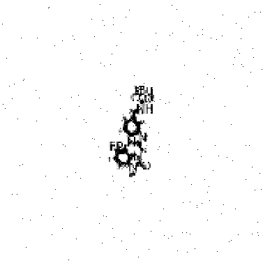 CCCn1c(Cn2c(=O)n(C)c3ccc(F)cc32)nc2cc(CNC(=O)OC(C)(C)C)ccc21